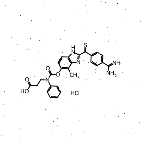 Cc1c(OC(=O)N(CCC(=O)O)c2ccccc2)ccc2[nH]c(C(=S)c3ccc(C(=N)N)cc3)nc12.Cl